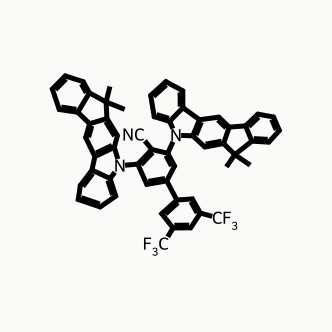 CC1(C)c2ccccc2-c2cc3c4ccccc4n(-c4cc(-c5cc(C(F)(F)F)cc(C(F)(F)F)c5)cc(-n5c6ccccc6c6cc7c(cc65)C(C)(C)c5ccccc5-7)c4C#N)c3cc21